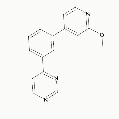 COc1cc(-c2cccc(-c3ccncn3)c2)ccn1